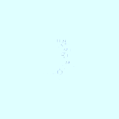 COCCCOc1cc(CC(CC(N)C(O)CC(C(=O)NC2CCCC2C(N)=O)C(C)C)C(C)C)ccc1OC